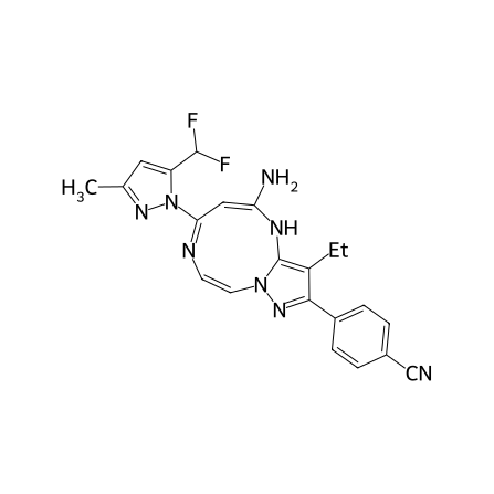 CCc1c(-c2ccc(C#N)cc2)nn2ccnc(-n3nc(C)cc3C(F)F)cc(N)[nH]c12